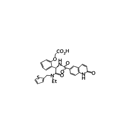 CCN(Cc1cccs1)C(=O)[C@H](NS(=O)(=O)c1ccc2[nH]c(=O)ccc2c1)c1ccccc1OCC(=O)O